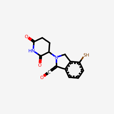 O=C=C1c2cccc(S)c2CN1C1CCC(=O)NC1=O